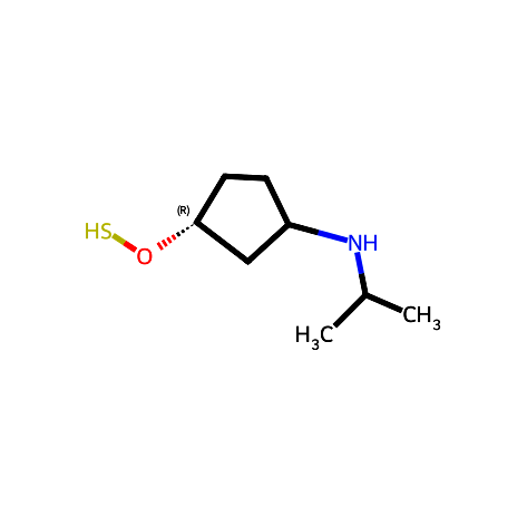 CC(C)NC1CC[C@@H](OS)C1